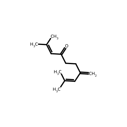 C=C(C=C(C)C)CCC(=O)C=C(C)C